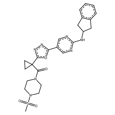 CS(=O)(=O)N1CCN(C(=O)C2(c3nnc(-c4cnc(NC5Cc6ccccc6C5)nc4)o3)CC2)CC1